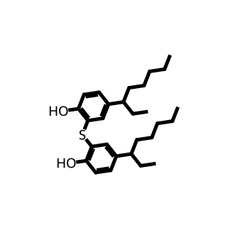 CCCCCC(CC)c1ccc(O)c(Sc2cc(C(CC)CCCCC)ccc2O)c1